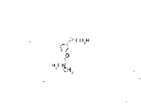 CN(C)CCOc1cccc(C2CC2C(=O)O)c1